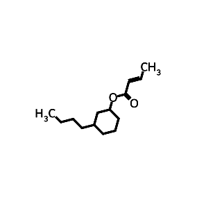 C/C=C/C(=O)OC1CCCC(CCCC)C1